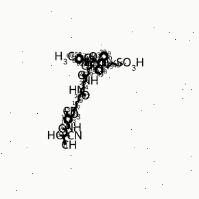 C#C/C(O)=C(\C#N)C(=O)Nc1ccc(C(F)(F)F)c(OCCCCCC(=O)NCCNC(=O)CCCN(C(=O)c2c3ccccc3[n+](CCCS(=O)(=O)O)c3ccccc23)S(=O)(=O)c2ccc(C)cc2)c1